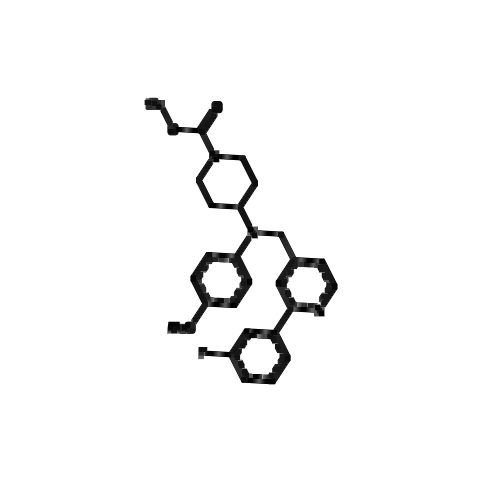 COc1ccc(N(Cc2ccnc(-c3cccc(F)c3)c2)C2CCN(C(=O)OC(C)(C)C)CC2)cc1